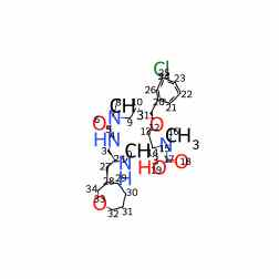 CN[C@H](CNC(=O)N(C)CC[C@@H](OCCN(C)C(=O)O)c1cccc(Cl)c1)C[C@H]1CCCCOC1